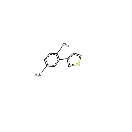 Cc1ccc(C)c(-c2c[c]sc2)c1